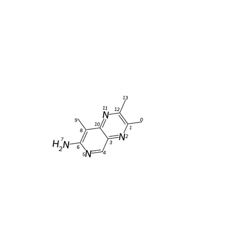 Cc1nc2cnc(N)c(C)c2nc1C